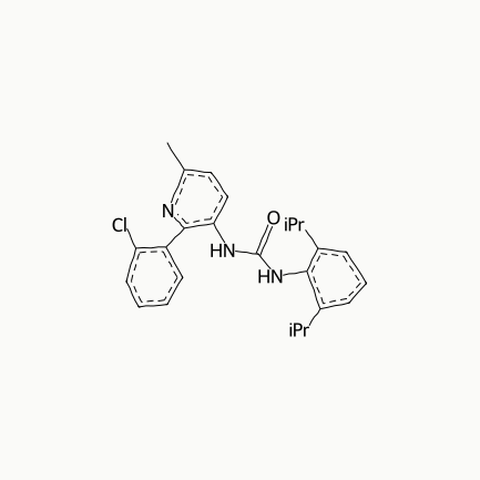 Cc1ccc(NC(=O)Nc2c(C(C)C)cccc2C(C)C)c(-c2ccccc2Cl)n1